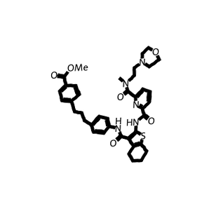 COC(=O)c1ccc(CCCc2ccc(NC(=O)c3c(NC(=O)c4cccc(C(=O)N(C)CCN5CCOCC5)n4)sc4c3CCCC4)cc2)cc1